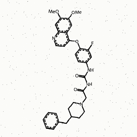 COc1cc2nccc(Oc3ccc(NC(=O)NC(=O)CN4CCC(Cc5ccccc5)CC4)cc3F)c2cc1OC